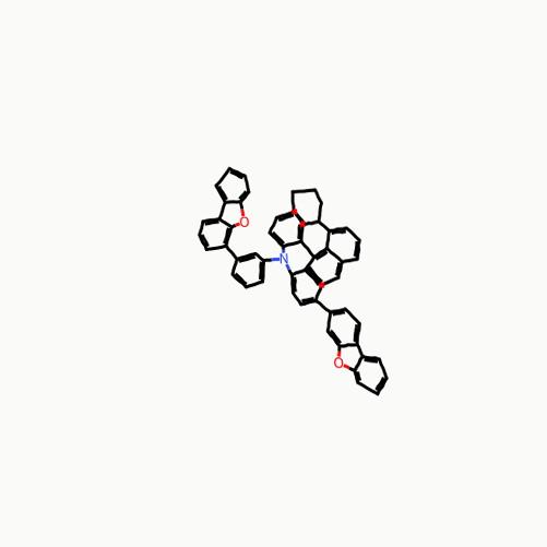 c1cc(-c2cccc3c2oc2ccccc23)cc(N(c2ccc(-c3ccc4c(c3)oc3ccccc34)cc2)c2ccccc2-c2cccc3cccc(C4CCCCC4)c23)c1